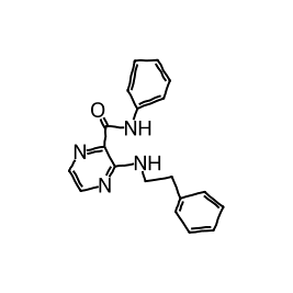 O=C(Nc1ccccc1)c1nccnc1NCCc1ccccc1